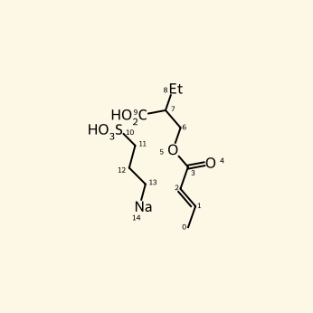 CC=CC(=O)OCC(CC)C(=O)O.O=S(=O)(O)CC[CH2][Na]